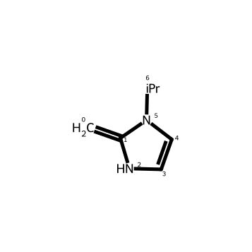 C=C1NC=CN1C(C)C